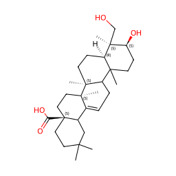 CC1(C)CC[C@]2(C(=O)O)CC[C@]3(C)C(=CCC4C5(C)CC[C@H](O)[C@](C)(CO)[C@@H]5CC[C@@]43C)C2C1